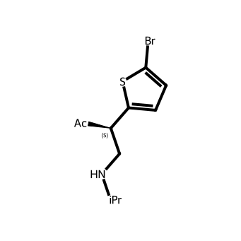 CC(=O)[C@H](CNC(C)C)c1ccc(Br)s1